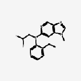 CCc1ccccc1N(CC(F)F)c1cc2c(cn1)ncn2C